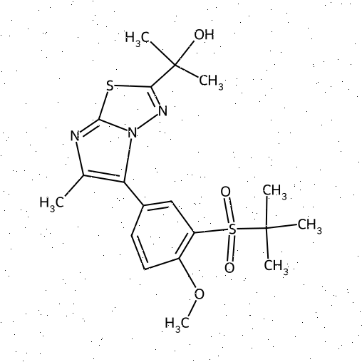 COc1ccc(-c2c(C)nc3sc(C(C)(C)O)nn23)cc1S(=O)(=O)C(C)(C)C